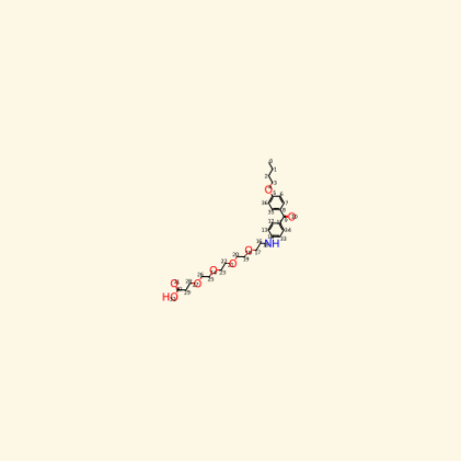 CCCCOc1ccc(C(=O)c2ccc(NCCOCCOCCOCCOCCC(=O)O)cc2)cc1